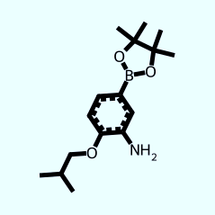 CC(C)COc1ccc(B2OC(C)(C)C(C)(C)O2)cc1N